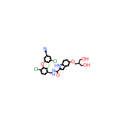 N#Cc1cc(Cl)cc(Oc2c(Cl)ccc(CNC(=O)c3cc4cc(OCC(CO)CO)ccc4[nH]3)c2F)c1